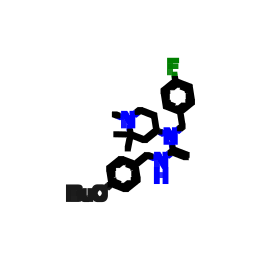 C=C(NCc1ccc(OCC(C)C)cc1)N(Cc1ccc(F)cc1)[C@@H]1CCN(C)C(C)(C)C1